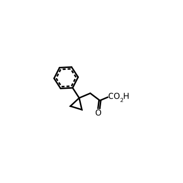 O=C(O)C(=O)CC1(c2ccccc2)CC1